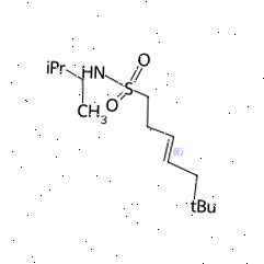 CC(C)C(C)NS(=O)(=O)CC/C=C/CC(C)(C)C